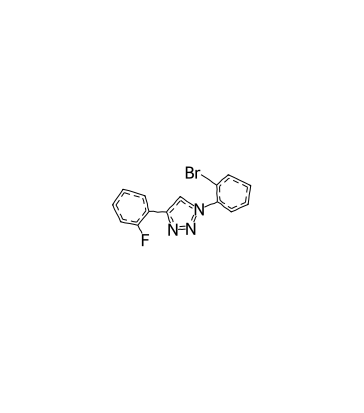 Fc1ccccc1-c1cn(-c2ccccc2Br)nn1